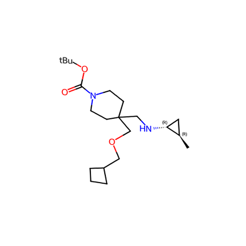 C[C@@H]1C[C@H]1NCC1(COCC2CCC2)CCN(C(=O)OC(C)(C)C)CC1